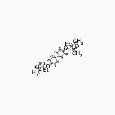 CCC1(COc2ccc(-c3ccc(OCC4(CC)C(C)OC4C)cc3)cc2)COC1C